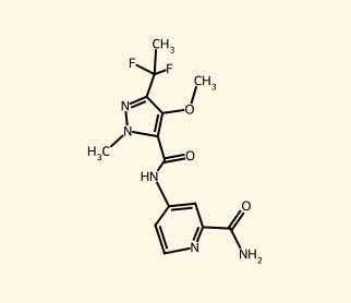 COc1c(C(C)(F)F)nn(C)c1C(=O)Nc1ccnc(C(N)=O)c1